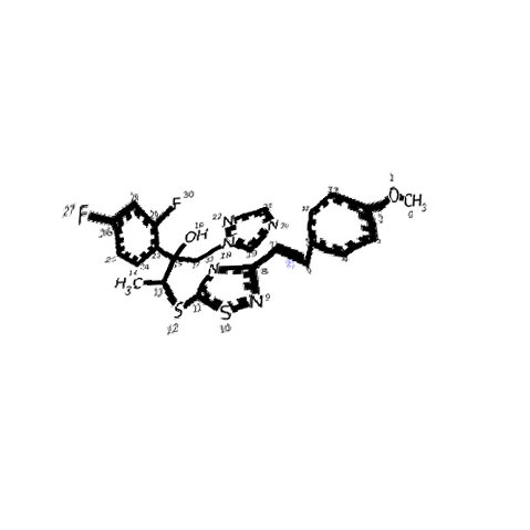 COc1ccc(/C=C/c2nsc(SC(C)C(O)(Cn3cncn3)c3ccc(F)cc3F)n2)cc1